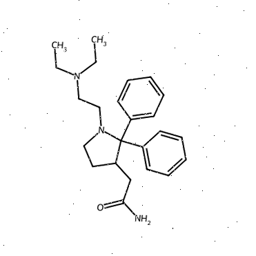 CCN(CC)CCN1CCC(CC(N)=O)C1(c1ccccc1)c1ccccc1